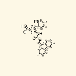 O=C(N[C@H]1CN(C(=O)O)C[C@@H]1c1ccccc1F)OCC1c2ccccc2-c2ccccc21